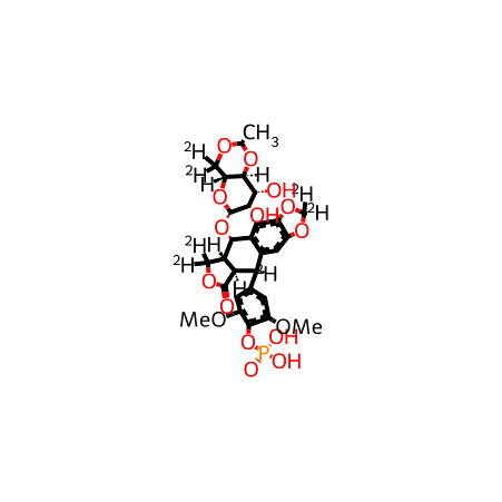 [2H]C1([2H])Oc2cc3c(cc2O1)[C@@]([2H])(c1cc(OC)c(OP(=O)(O)O)c(OC)c1)[C@H]1C(=O)OC([2H])([2H])[C@@H]1[C@@H]3O[C@@H]1O[C@H]2[C@@H](O[C@H](C)OC2([2H])[2H])[C@H](O)[C@H]1O